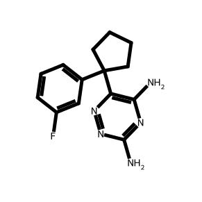 Nc1nnc(C2(c3cccc(F)c3)CCCC2)c(N)n1